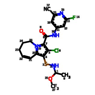 CC(NSc1c(Cl)c(C(=O)Nc2cc(F)nc(C#N)c2)n2c1C=CCCC2)OC(F)(F)F